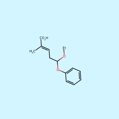 CCOC(CC=C(C)C(=O)O)Oc1ccccc1